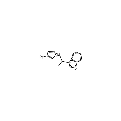 CC(C)C1=C[SH](CC(C)c2csc3ccccc23)C=C1